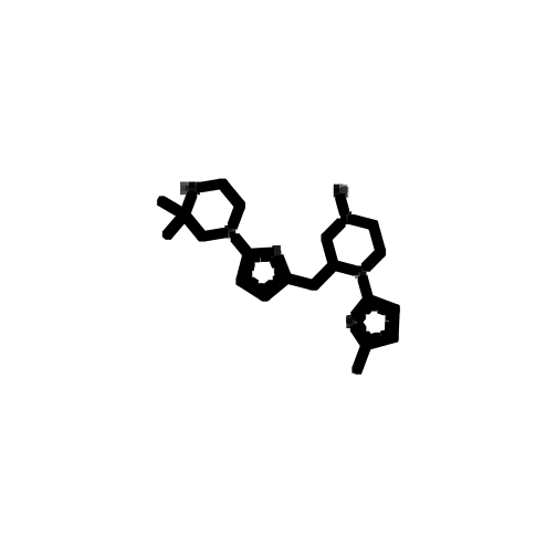 CCN1CCN(c2ccc(C)s2)C(Cc2ccc(N3CCNC(C)(C)C3)s2)C1